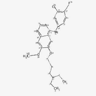 CCN(CC)CCCOc1cc2c(Nc3ccc(F)c(Cl)c3)ncnc2cc1OC